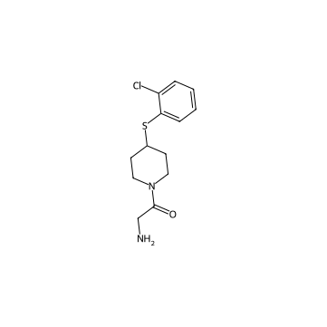 NCC(=O)N1CCC(Sc2ccccc2Cl)CC1